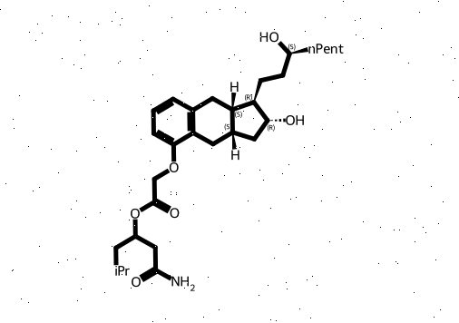 CCCCC[C@H](O)CC[C@@H]1[C@H]2Cc3cccc(OCC(=O)OC(CC(N)=O)CC(C)C)c3C[C@H]2C[C@H]1O